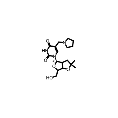 CC1(C)CC2C(O1)C(CO)O[C@H]2n1cc(CN2CCCC2)c(=O)[nH]c1=O